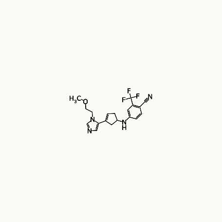 COCCn1cncc1C1=CCC(Nc2ccc(C#N)c(C(F)(F)F)c2)C1